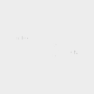 CCCCCCCCCCOC(=O)C=CC#N